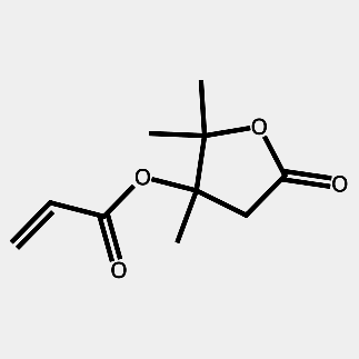 C=CC(=O)OC1(C)CC(=O)OC1(C)C